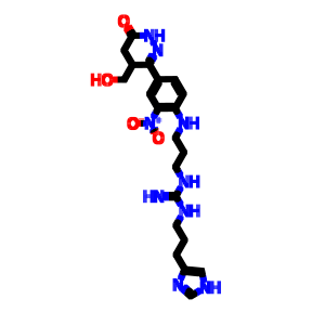 N=C(NCCCNc1ccc(C2=NNC(=O)CC2CO)cc1[N+](=O)[O-])NCCCc1c[nH]cn1